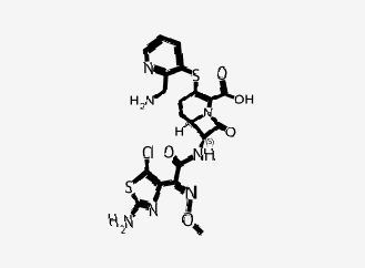 CON=C(C(=O)N[C@@H]1C(=O)N2C(C(=O)O)=C(Sc3cccnc3CN)CC[C@H]12)c1nc(N)sc1Cl